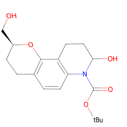 CC(C)(C)OC(=O)N1c2ccc3c(c2CCC1O)O[C@H](CO)CC3